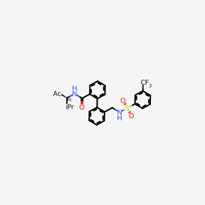 CC(=O)[C@@H](NC(=O)c1ccccc1-c1ccccc1CNS(=O)(=O)c1cccc(C(F)(F)F)c1)C(C)C